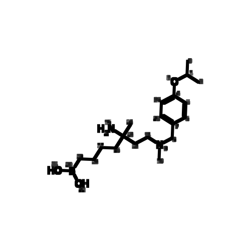 CC(C)Oc1ccc(CN(C)CCC(C)(N)CCCCB(O)O)cc1